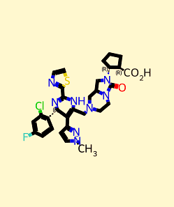 Cn1ccc(C2=C(CN3CCN4C(=O)N([C@@H]5CCC[C@H]5C(=O)O)CC4C3)NC(c3nccs3)=N[C@H]2c2ccc(F)cc2Cl)n1